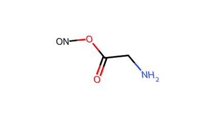 NCC(=O)ON=O